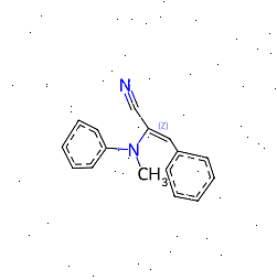 CN(/C(C#N)=C\c1ccccc1)c1ccccc1